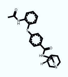 CC(=O)Nc1ccccc1Sc1ccc(C(=O)N[C@H]2CN3CCC2CC3)cc1